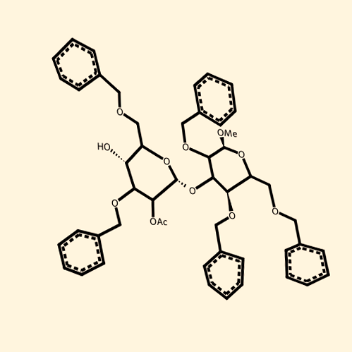 CO[C@H]1OC(COCc2ccccc2)[C@@H](OCc2ccccc2)C(O[C@H]2OC(COCc3ccccc3)[C@@H](O)C(OCc3ccccc3)C2OC(C)=O)C1OCc1ccccc1